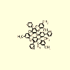 Cc1cc(C)c(P2c3cc(-c4cccnc4)cc4c3N3c5c2cc(-c2cccnc2)cc5P(c2c(C)cc(C)cc2C)c2cc(-c5cccnc5)cc(c23)P4c2c(C)cc(C)cc2C)c(C)c1